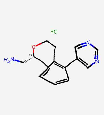 Cl.NC[C@@H]1OCCc2c(-c3cncnc3)cccc21